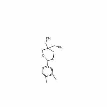 Cc1ccc(C2OCC(CO)(CO)CO2)cc1C